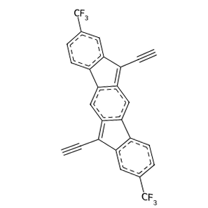 C#CC1=c2cc3c(cc2-c2ccc(C(F)(F)F)cc21)=C(C#C)c1cc(C(F)(F)F)ccc1-3